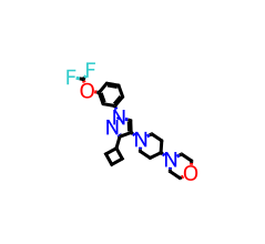 FC(F)Oc1cccc(-n2cc(N3CCC(N4CCOCC4)CC3)c(C3CCC3)n2)c1